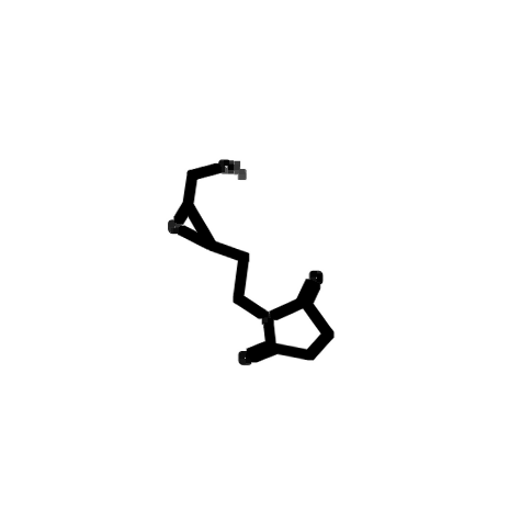 CCC1OC1CCN1C(=O)CCC1=O